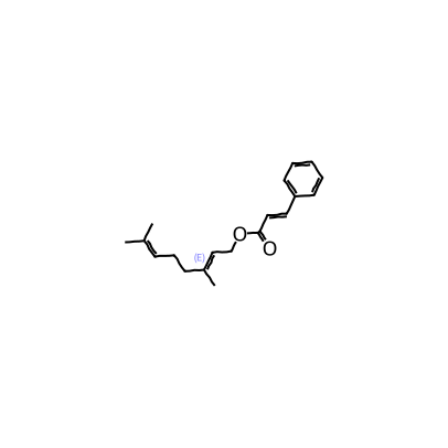 CC(C)=CCC/C(C)=C/COC(=O)C=Cc1ccccc1